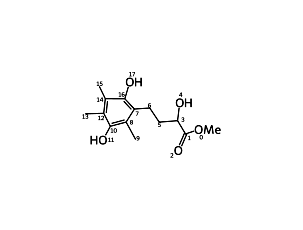 COC(=O)C(O)CCc1c(C)c(O)c(C)c(C)c1O